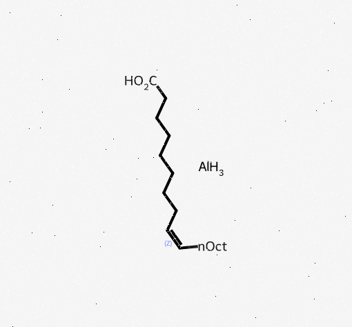 CCCCCCCC/C=C\CCCCCCCC(=O)O.[AlH3]